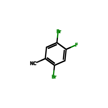 N#Cc1cc(Br)c(F)cc1Br